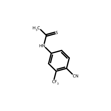 CC(=S)Nc1ccc(C#N)c(C(F)(F)F)c1